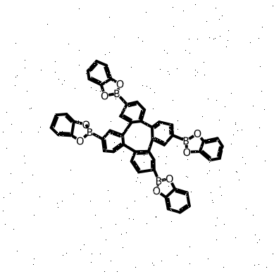 c1ccc2c(c1)OB(c1ccc3c(c1)-c1cc(B4Oc5ccccc5O4)ccc1-c1ccc(B4Oc5ccccc5O4)cc1-c1cc(B4Oc5ccccc5O4)ccc1-3)O2